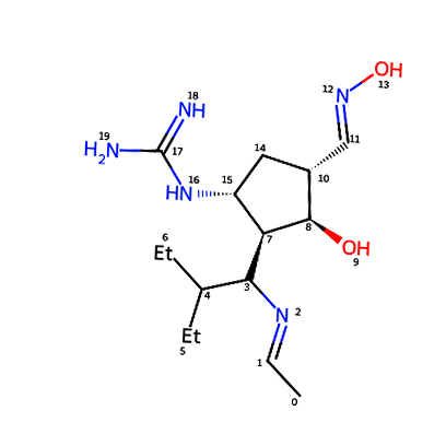 C/C=N/C(C(CC)CC)[C@@H]1[C@H](O)[C@@H](/C=N/O)C[C@H]1NC(=N)N